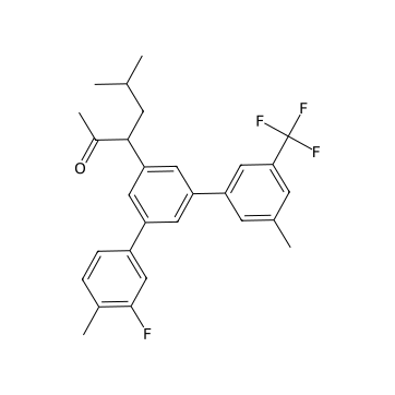 CC(=O)C(CC(C)C)c1cc(-c2cc(C)cc(C(F)(F)F)c2)cc(-c2ccc(C)c(F)c2)c1